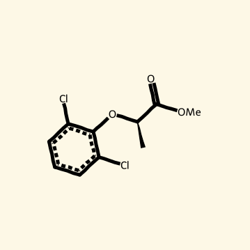 COC(=O)[C@@H](C)Oc1c(Cl)cccc1Cl